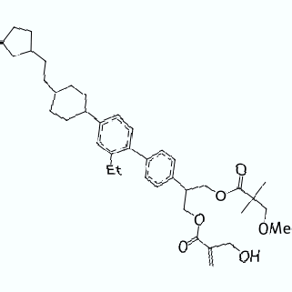 C=C(CO)C(=O)OCC(COC(=O)C(C)(C)COC)c1ccc(-c2ccc(C3CCC(CCC4CCCC4)CC3)cc2CC)cc1